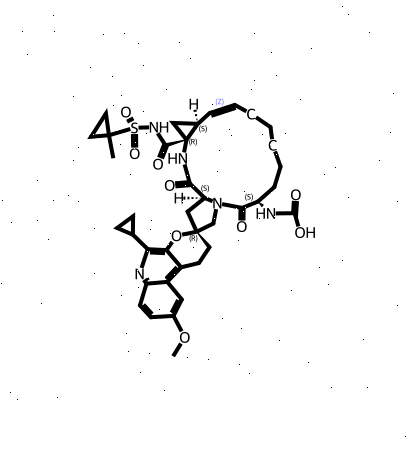 COc1ccc2nc(C3CC3)c3c(c2c1)CC[C@]1(C[C@H]2C(=O)N[C@]4(C(=O)NS(=O)(=O)C5(C)CC5)C[C@H]4/C=C\CCCCC[C@H](NC(=O)O)C(=O)N2C1)O3